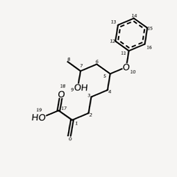 C=C(CCCC(CC(C)O)Oc1ccccc1)C(=O)O